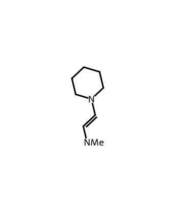 CNC=CN1CCCCC1